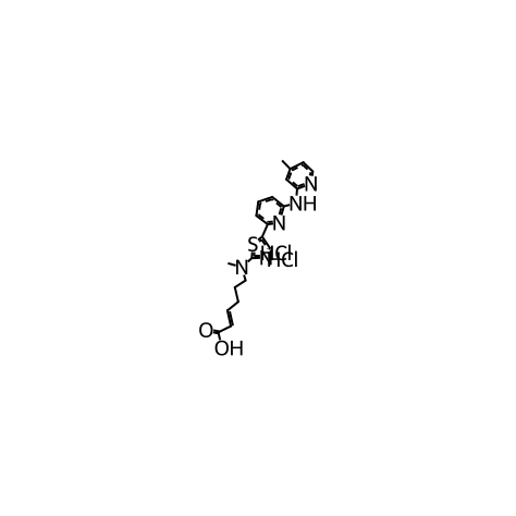 Cc1ccnc(Nc2cccc(-c3cnc(N(C)CCC/C=C/C(=O)O)s3)n2)c1.Cl.Cl